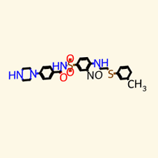 CC1C=C(SCCNc2ccc(S(=O)(=O)NC(=O)c3ccc(N4CCNCC4)cc3)cc2N=O)C=CC1